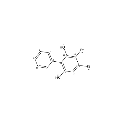 CCc1cc(S)c(-c2ccccc2)c(O)c1CC